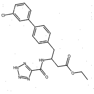 CCOC(=O)CC(Cc1ccc(-c2cccc(Cl)c2)cc1)NC(=O)c1nn[nH]n1